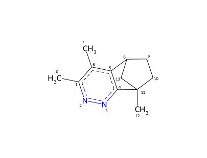 Cc1nnc2c(c1C)C1CCC2(C)C1